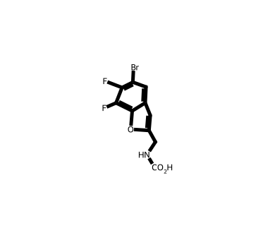 O=C(O)NCc1cc2cc(Br)c(F)c(F)c2o1